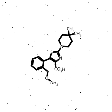 CC1(C)CCN(c2nc(C(=O)O)c(-c3ccccc3CON)s2)CC1